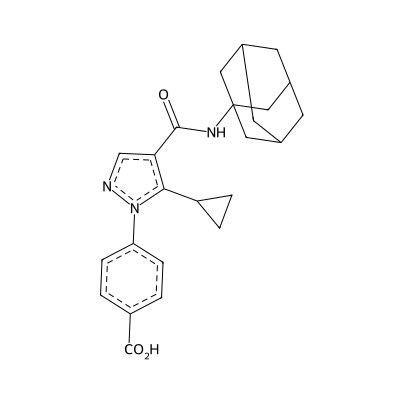 O=C(O)c1ccc(-n2ncc(C(=O)NC34CC5CC(CC(C5)C3)C4)c2C2CC2)cc1